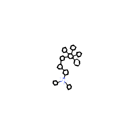 C1=CC=C(c2cc(-c3cccc(-c4cccc(-c5cccc(-c6nc(-c7ccccc7)nc(-c7ccccc7)n6)c5)c4)c3)c(-c3ccccc3)c(-c3ccccc3)c2-c2ccccc2)CC=C1